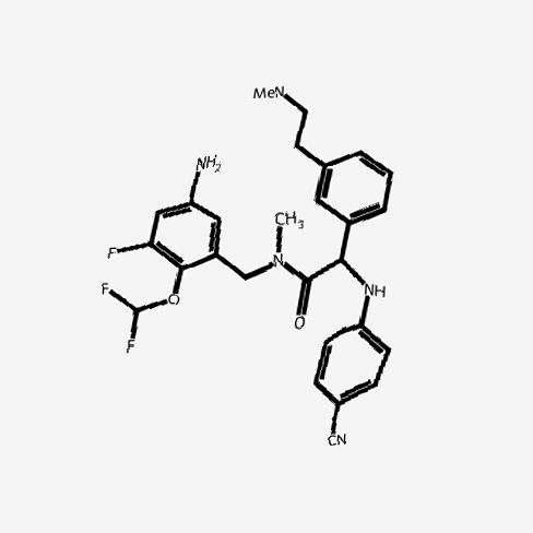 CNCCc1cccc(C(Nc2ccc(C#N)cc2)C(=O)N(C)Cc2cc(N)cc(F)c2OC(F)F)c1